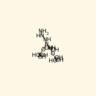 NCCNCCNCCN(CCNCC(O)COCCC[Si](O)(O)O)CC(O)COCCC[Si](O)(O)O